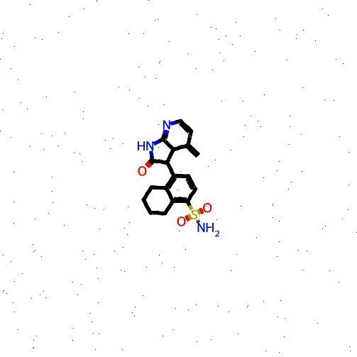 C=C1C=CN=C2NC(=O)C(c3ccc(S(N)(=O)=O)c4c3CCCC4)C12